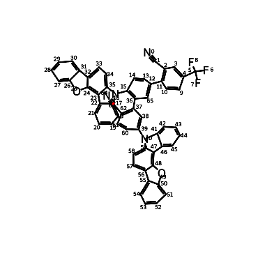 N#Cc1cc(C(F)(F)F)ccc1-c1ccc(-n2c3ccccc3c3c4oc5ccccc5c4ccc32)c(-c2cc(-n3c4ccccc4c4c5oc6ccccc6c5ccc43)ccc2C#N)c1